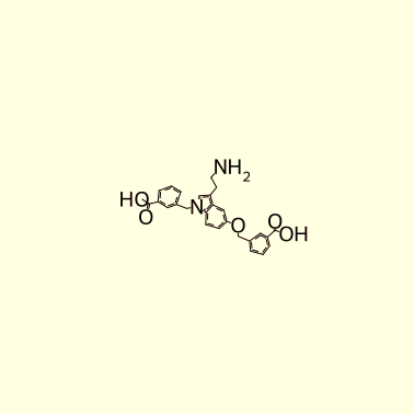 NCCc1cn(Cc2cccc(C(=O)O)c2)c2ccc(OCc3cccc(C(=O)O)c3)cc12